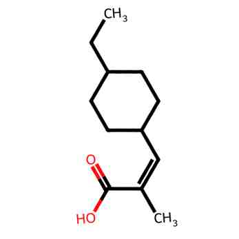 CCC1CCC(C=C(C)C(=O)O)CC1